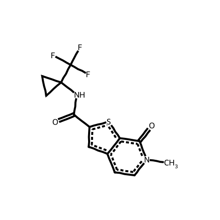 Cn1ccc2cc(C(=O)NC3(C(F)(F)F)CC3)sc2c1=O